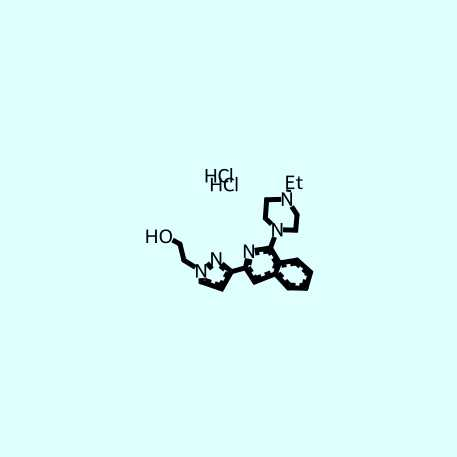 CCN1CCN(c2nc(-c3ccn(CCO)n3)cc3ccccc23)CC1.Cl.Cl